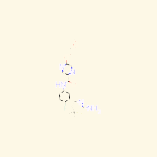 COCCOc1cnc(C(=O)Nc2ccc(F)c([C@]3(C)CC(C)(C)SC(N)=N3)c2)cn1